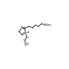 CCCCCCCCCCCCCC1=NCC[N+]1(C)CCO